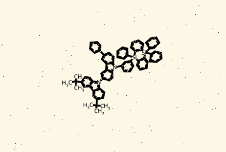 CC(C)(C)c1ccc2c(c1)c1cc(C(C)(C)C)ccc1n2-c1ccc2c(c1)c1cc(-c3ccccc3)ccc1n2-c1cccc([Si]2(c3ccccc3)c3ccccc3[Si](c3ccccc3)(c3ccccc3)c3ccccc32)c1